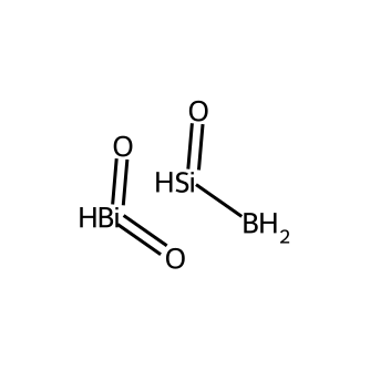 B[SiH]=O.[O]=[BiH]=[O]